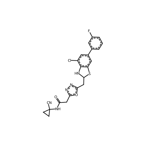 N#CC1(NC(=O)Cc2nnc(CC3Nc4c(Cl)cc(-c5cccc(F)c5)cc4S3)o2)CC1